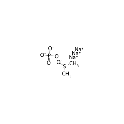 C[S+](C)[O-].O=P([O-])([O-])[O-].[Na+].[Na+].[Na+]